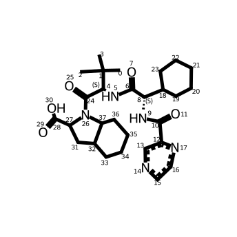 CC(C)(C)[C@H](NC(=O)[C@@H](NC(=O)c1cnccn1)C1CCCCC1)C(=O)N1C(C(=O)O)CC2CCCCC21